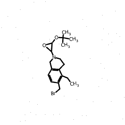 CCc1c(CBr)ccc2c1CCN(C1OC1OC(C)(C)C)C2